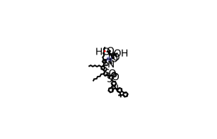 CCCCCCc1cc(-c2sc(-c3sc(-c4sc(-c5ccc6c(c5)c5ccccc5n6-c5ccc6c(c5)C(C)(C)c5ccccc5-6)c5c4OCCO5)cc3CCCCCC)cc2CCCCCC)sc1/C=C(\C#N)C(=O)N(CC(=O)O)CC(=O)O